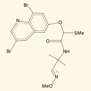 CO/N=C/C(C)(C)NC(=O)C(Oc1cc(Br)c2ncc(Br)cc2c1)SC